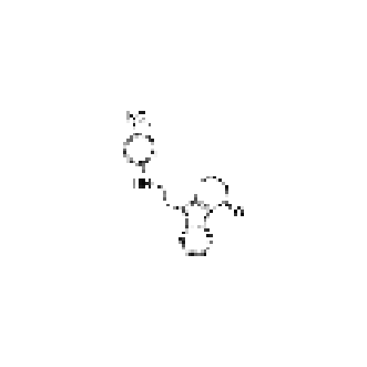 O=C1CCCc2c(CCNc3ccc([N+](=O)[O-])cc3)c3ccccc3n21